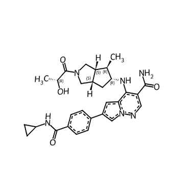 C[C@@H]1[C@H]2CN(C(=O)[C@@H](C)O)C[C@H]2C[C@H]1Nc1c(C(N)=O)cnn2cc(-c3ccc(C(=O)NC4CC4)cc3)cc12